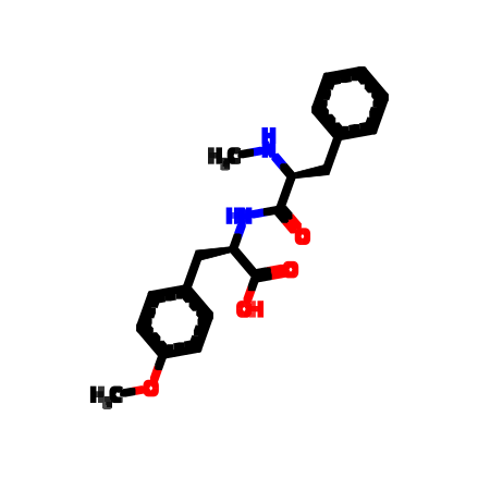 CN[C@@H](Cc1ccccc1)C(=O)N[C@H](Cc1ccc(OC)cc1)C(=O)O